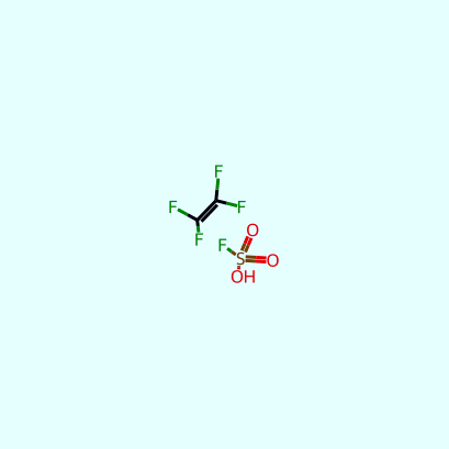 FC(F)=C(F)F.O=S(=O)(O)F